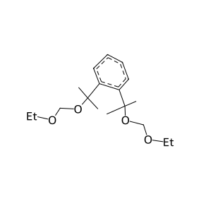 CCOCOC(C)(C)c1ccccc1C(C)(C)OCOCC